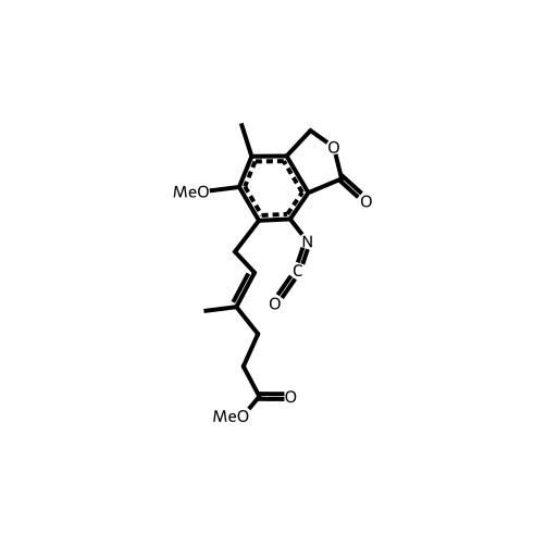 COC(=O)CC/C(C)=C/Cc1c(N=C=O)c2c(c(C)c1OC)COC2=O